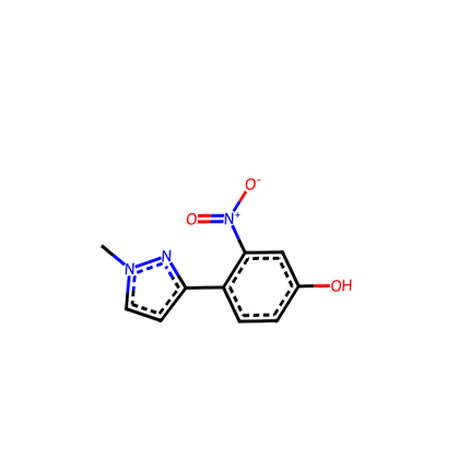 Cn1ccc(-c2ccc(O)cc2[N+](=O)[O-])n1